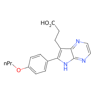 CCCOc1ccc(-c2[nH]c3nccnc3c2CCC(=O)O)cc1